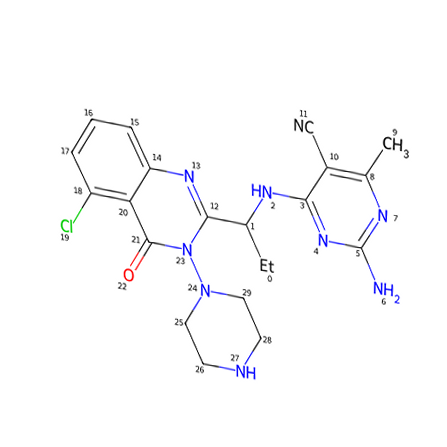 CCC(Nc1nc(N)nc(C)c1C#N)c1nc2cccc(Cl)c2c(=O)n1N1CCNCC1